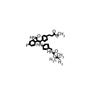 COC(=O)CCc1ccc(C(Nc2ccc(CNC(=O)OC(C)(C)C)cc2)=C2C(=O)Nc3cc(F)ccc32)cc1